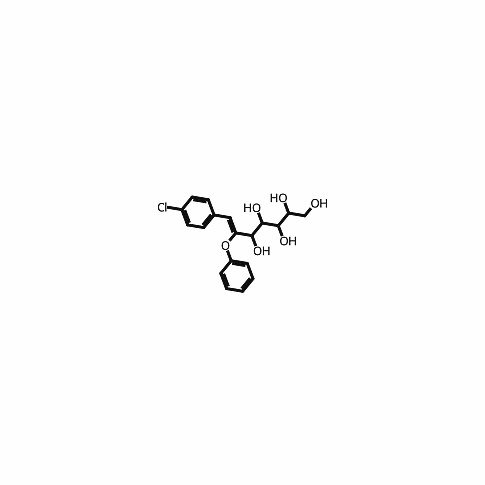 OCC(O)C(O)C(O)C(O)C(=Cc1ccc(Cl)cc1)Oc1ccccc1